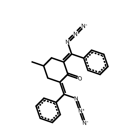 CC1CC(=C(N=[N+]=[N-])c2ccccc2)C(=O)C(=C(N=[N+]=[N-])c2ccccc2)C1